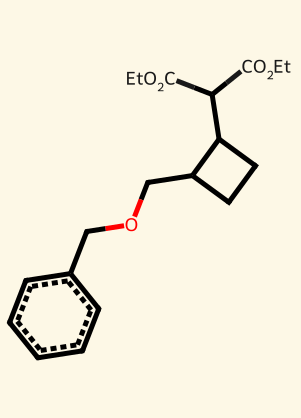 CCOC(=O)C(C(=O)OCC)C1CCC1COCc1ccccc1